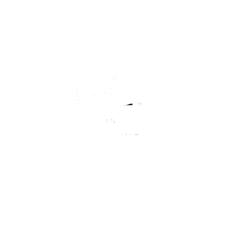 C[C@@H](NC(=O)O)C(=O)C1CC1